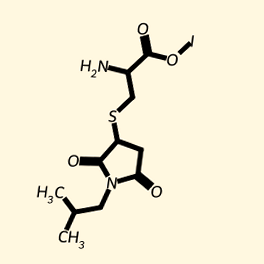 CC(C)CN1C(=O)CC(SCC(N)C(=O)OI)C1=O